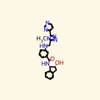 Cn1c(CNc2cccc(C(=O)N[C@H]3c4ccccc4C[C@H]3O)c2)nnc1-c1ccncn1